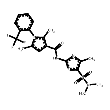 Cc1nc(NC(=O)c2cc(C)n(-c3ccccc3C(F)(F)F)c2C)sc1S(=O)(=O)N(C)C